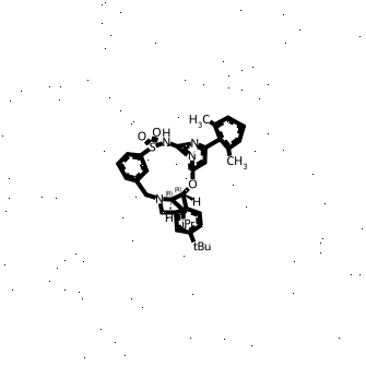 Cc1cccc(C)c1-c1cc2nc(n1)NS(=O)(=O)c1cccc(c1)CN1Cc3cc(C(C)(C)C)ccc3[C@@H](O2)[C@H]1CC(C)C